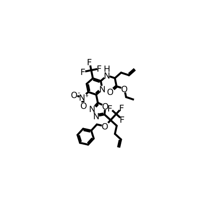 C=CCCC(OCc1ccccc1)(c1nnc(-c2nc(NC(CC=C)C(=O)OCC)c(C(F)(F)F)cc2[N+](=O)[O-])o1)C(F)(F)F